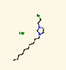 Br.CCCCCCCCCCN1C=CN(CCBr)C1